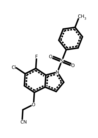 Cc1ccc(S(=O)(=O)n2ccc3c(OCC#N)cc(Cl)c(F)c32)cc1